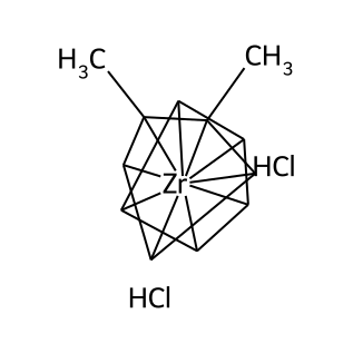 C[C]12[CH]3[CH]4[CH]5[C]1(C)[Zr]43521678[CH]2[CH]1[CH]6[CH]7[CH]28.Cl.Cl